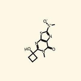 Cn1c(C2(O)CCC2)nc2sc([S+](C)[O-])nc2c1=O